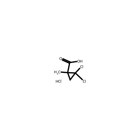 CC1(C(=O)O)CC1(Cl)Cl.Cl